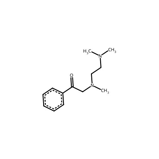 CN(C)CCN(C)CC(=O)c1ccccc1